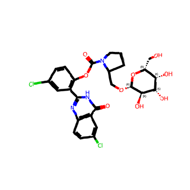 O=C(Oc1ccc(Cl)cc1-c1nc2ccc(Cl)cc2c(=O)[nH]1)N1CCCC1CO[C@@H]1O[C@H](CO)[C@H](O)[C@H](O)[C@H]1O